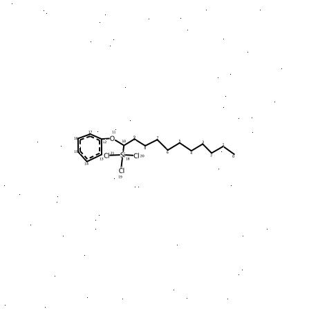 CCCCCCCCCCC(Oc1ccccc1)[Si](Cl)(Cl)Cl